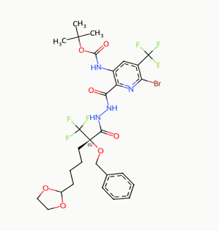 CC(C)(C)OC(=O)Nc1cc(C(F)(F)F)c(Br)nc1C(=O)NNC(=O)[C@](CCCCC1OCCO1)(OCc1ccccc1)C(F)(F)F